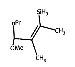 CCCC(OC)C(C)=C(C)[SiH3]